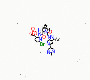 CC(=O)c1nn(CC(=O)N2[C@H](C(=O)Nc3nc(Br)ccc3C3COC(=O)O3)C[C@@]3(C)C#C[C@@H]23)c2cnc(-c3cnc(C)nc3)cc12